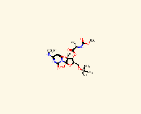 CCOC(=O)Nc1ccn([C@]2(O)O[C@H](CO[Si](C)(C)C(C)(C)C)[C@@H](OC(=O)[C@@H](NC(=O)OC(C)(C)C)C(C)C)[C@@]2(C)O)c(=O)n1